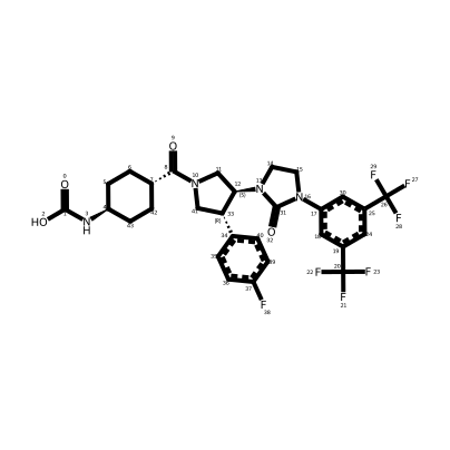 O=C(O)N[C@H]1CC[C@H](C(=O)N2C[C@@H](N3CCN(c4cc(C(F)(F)F)cc(C(F)(F)F)c4)C3=O)[C@H](c3ccc(F)cc3)C2)CC1